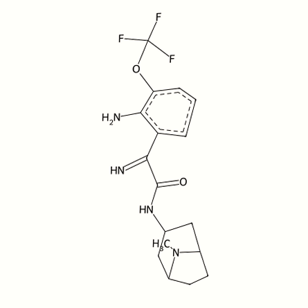 CN1C2CCC1CC(NC(=O)C(=N)c1cccc(OC(F)(F)F)c1N)C2